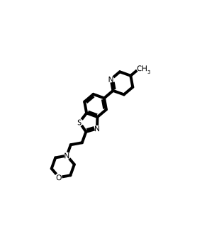 CC1CCC(c2ccc3sc(CCN4CCOCC4)nc3c2)=NC1